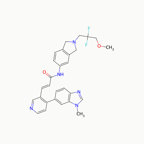 COCC(F)(F)CN1Cc2ccc(NC(=O)C=Cc3cnccc3-c3ccc4ncn(C)c4c3)cc2C1